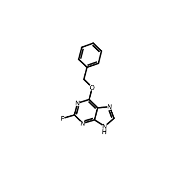 Fc1nc(OCc2ccccc2)c2nc[nH]c2n1